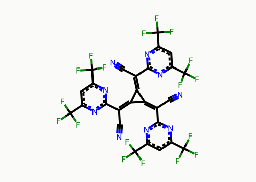 N#CC(=C1C(=C(C#N)c2nc(C(F)(F)F)cc(C(F)(F)F)n2)C1=C(C#N)c1nc(C(F)(F)F)cc(C(F)(F)F)n1)c1nc(C(F)(F)F)cc(C(F)(F)F)n1